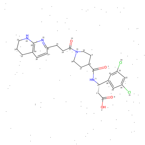 O=C(O)C[C@H](NC(=O)C1CCN(C(=O)CCc2ccc3c(n2)NCCC3)CC1)c1cc(Cl)cc(Cl)c1